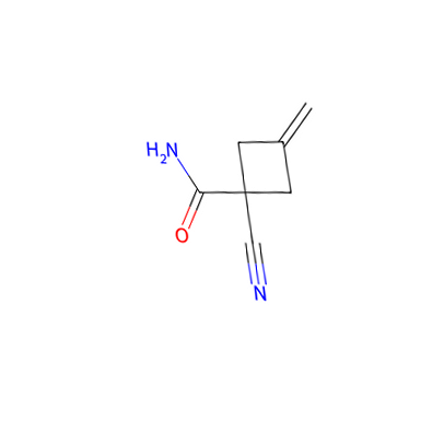 C=C1CC(C#N)(C(N)=O)C1